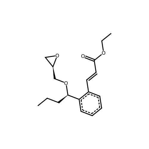 CCC[C@@H](OC[C@H]1CO1)c1ccccc1/C=C/C(=O)OCC